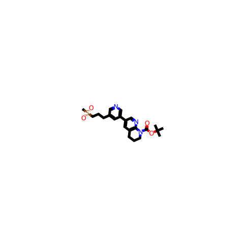 CC(C)(C)OC(=O)N1CCCc2cc(-c3cncc(CCCS(C)(=O)=O)c3)cnc21